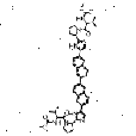 COC(=O)NC(C(=O)N1CCCC1c1ncc(-c2ccc3cc(-c4ccc5cc(-c6cnc(C7CCCN7C(=O)C(NC(=O)OC)C(C)C)[nH]6)ccc5c4)ccc3c2)[nH]1)C(C)C